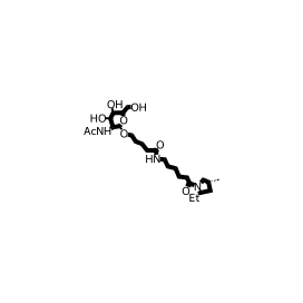 CC[C@@H]1C[C@@H](C)CN1C(=O)CCCCCNC(=O)CCCCO[C@@H]1OC(CO)[C@H](O)[C@H](O)C1NC(C)=O